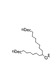 [CH2]COC(CCCCCCCCCCCCCCCC)CCCCCCCCCCCCCCCCC